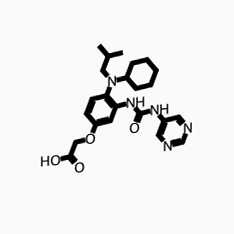 CC(C)CN(c1ccc(OCC(=O)O)cc1NC(=O)Nc1cncnc1)C1CCCCC1